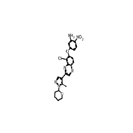 Cc1c(-c2cnc3ccc(Oc4ccc([N+](=O)[O-])c(N)c4)c(Cl)c3n2)cnn1C1CCCCO1